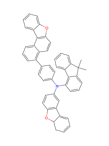 CC1(C)c2ccccc2-c2c(N(c3ccc(-c4cccc5c4ccc4oc6ccccc6c45)cc3)c3ccc4c(c3)C3=CC=CCC3O4)cccc21